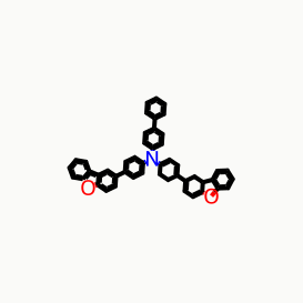 C1=C(C2=CC=C3Oc4ccccc4C3C2)CCC(N(c2ccc(-c3ccccc3)cc2)c2ccc(-c3ccc4oc5ccccc5c4c3)cc2)=C1